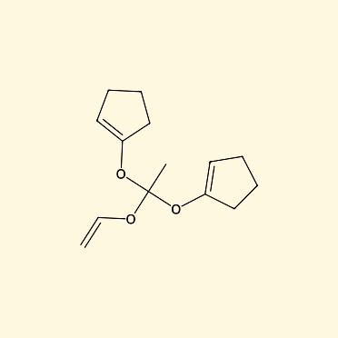 C=COC(C)(OC1=CCCC1)OC1=CCCC1